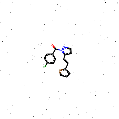 O=C(c1ccc(Cl)cc1)n1nccc1C=Cc1cccs1